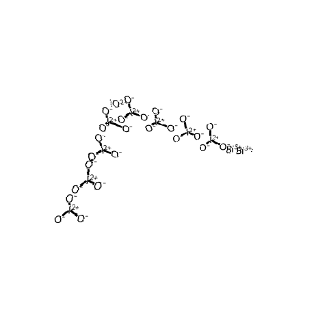 [Bi+3].[Bi+3].[O+2].[O-][I+2]([O-])[O-].[O-][I+2]([O-])[O-].[O-][I+2]([O-])[O-].[O-][I+2]([O-])[O-].[O-][I+2]([O-])[O-].[O-][I+2]([O-])[O-].[O-][I+2]([O-])[O-].[O-][I+2]([O-])[O-]